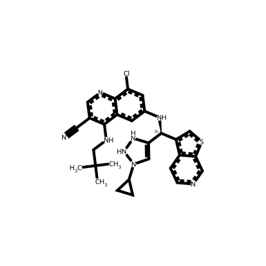 CC(C)(C)CNc1c(C#N)cnc2c(Cl)cc(N[C@H](C3=CN(C4CC4)NN3)c3csc4cnccc34)cc12